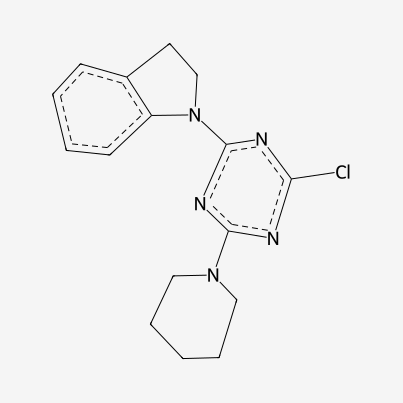 Clc1nc(N2CCCCC2)nc(N2CCc3ccccc32)n1